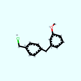 COc1cccc(Cc2ccc(CCl)cc2)c1